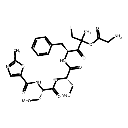 COC[C@H](NC(=O)c1cnc(C)s1)C(=O)N[C@@H](COC)C(=O)N[C@@H](Cc1ccccc1)C(=O)C(C)(CI)OC(=O)CN